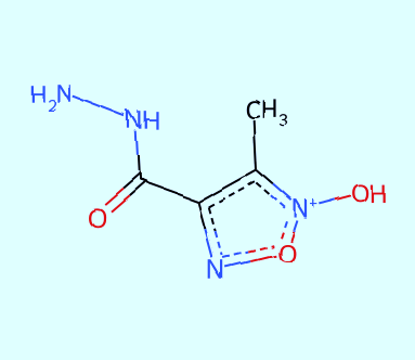 Cc1c(C(=O)NN)no[n+]1O